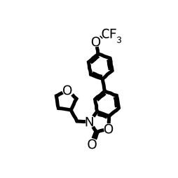 O=c1oc2ccc(-c3ccc(OC(F)(F)F)cc3)cc2n1CC1CCOC1